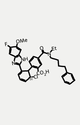 CCN(CCCCc1ccccc1)C(=O)c1ccc(C2C(c3nc4cc(F)c(OC)cc4[nH]3)=CC=C[C@@H]2Cl)c(C(=O)O)c1